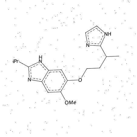 COc1cc2nc(C(C)C)[nH]c2cc1OCCC(C)c1ncc[nH]1